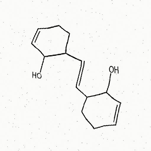 OC1C=CCCC1C=CC1CCC=CC1O